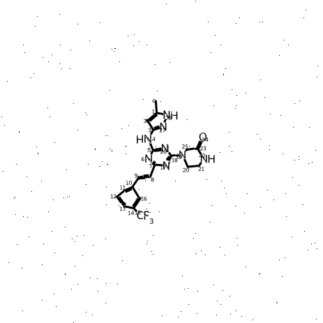 Cc1cc(Nc2nc(/C=C/c3cccc(C(F)(F)F)c3)nc(N3CCNC(=O)C3)n2)n[nH]1